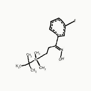 CC(C)(C)[Si](C)(C)CCC(=NO)c1cccc(F)c1